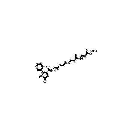 CN1C(=O)C[C@H](C(=O)NCCOCCOCCC(=O)NCCC(=O)OC(C)(C)C)[C@H]1c1cccnc1